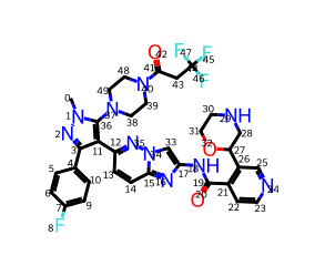 Cn1nc(-c2ccc(F)cc2)c(-c2ccc3nc(NC(=O)c4ccncc4C4CNCCO4)cn3n2)c1N1CCN(C(=O)CC(F)(F)F)CC1